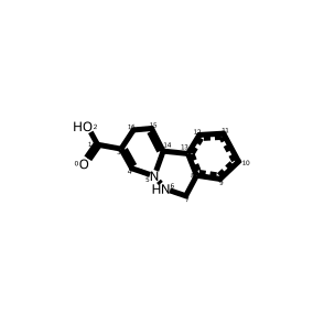 O=C(O)C1=CN2NCc3ccccc3C2=CC1